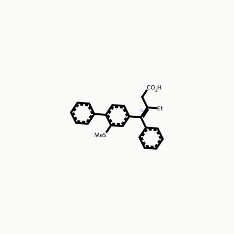 CC/C(CC(=O)O)=C(\c1ccccc1)c1ccc(-c2ccccc2)c(SC)c1